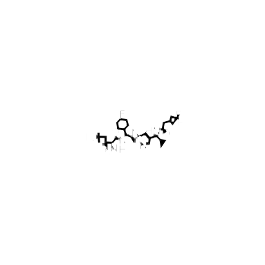 CC(C)(O)Cc1nonc1C(=O)N[C@H](c1cn2ncc([C@H](NC(=O)CC3CC(F)(F)C3)C3CC3)cc2n1)C1CCC(F)(F)CC1